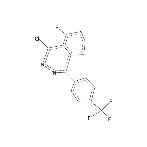 Fc1cccc2c(-c3ccc(C(F)(F)F)cc3)nnc(Cl)c12